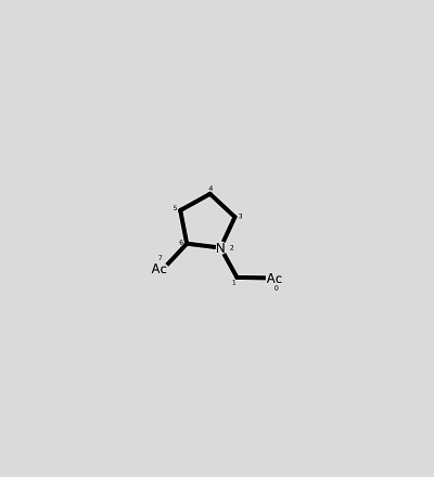 CC(=O)CN1CCCC1C(C)=O